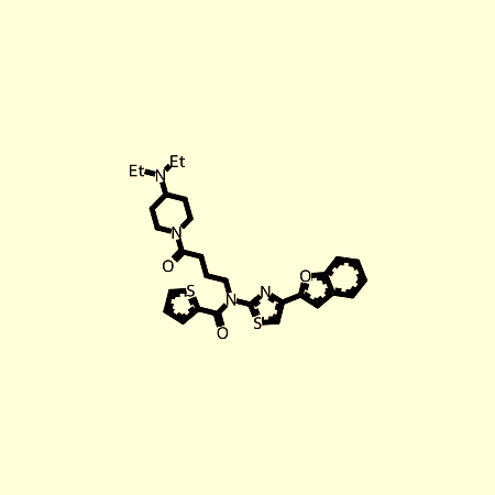 CCN(CC)C1CCN(C(=O)CCCN(C(=O)c2cccs2)c2nc(-c3cc4ccccc4o3)cs2)CC1